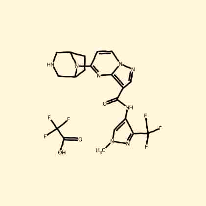 Cn1cc(NC(=O)c2cnn3ccc(N4C5CCC4CNC5)nc23)c(C(F)(F)F)n1.O=C(O)C(F)(F)F